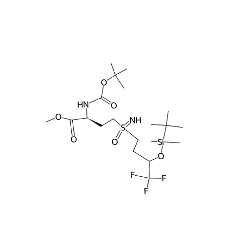 COC(=O)[C@H](CCS(=N)(=O)CCC(O[Si](C)(C)C(C)(C)C)C(F)(F)F)NC(=O)OC(C)(C)C